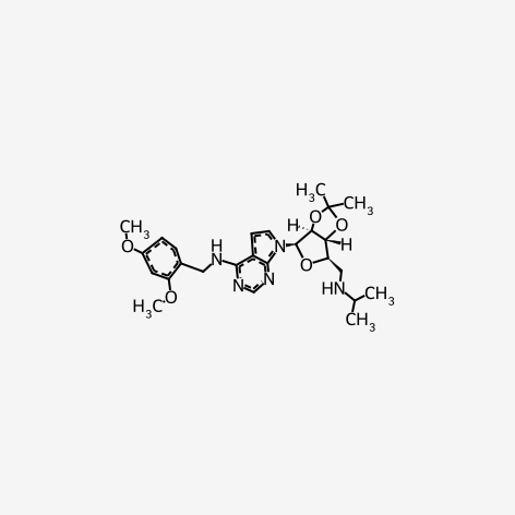 COc1ccc(CNc2ncnc3c2ccn3[C@@H]2O[C@H](CNC(C)C)[C@H]3OC(C)(C)O[C@@H]32)c(OC)c1